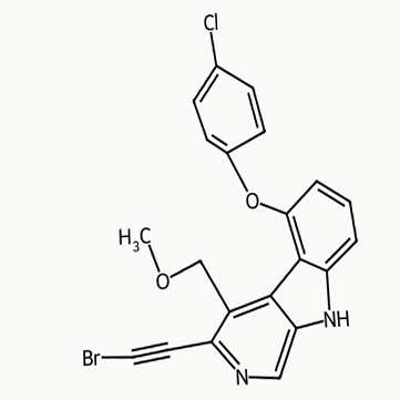 COCc1c(C#CBr)ncc2[nH]c3cccc(Oc4ccc(Cl)cc4)c3c12